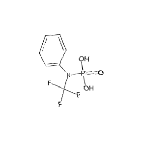 O=P(O)(O)N(c1ccccc1)C(F)(F)F